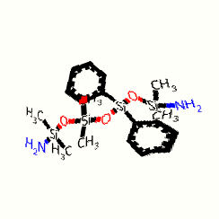 C[Si](C)(N)O[Si](C)(C)O[Si](O[Si](C)(C)N)(c1ccccc1)c1ccccc1